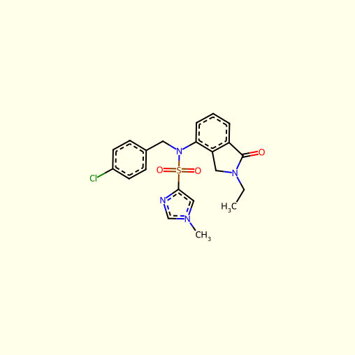 CCN1Cc2c(cccc2N(Cc2ccc(Cl)cc2)S(=O)(=O)c2cn(C)cn2)C1=O